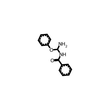 NC(NC(=O)c1ccccc1)Oc1ccccc1